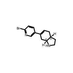 Brc1ccc(C2=CC[C@@H]3CCN[C@@H]3C2)cn1